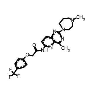 Cc1nc(N2CCCN(C)CC2)nc2ccc(NC(=O)COc3ccc(C(F)(F)F)cc3)nc12